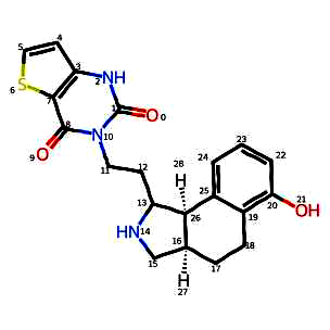 O=c1[nH]c2ccsc2c(=O)n1CCC1NC[C@@H]2CCc3c(O)cccc3[C@H]12